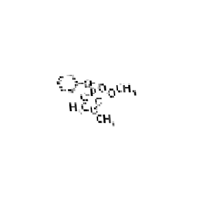 COO[PH](OC)(OOC)Oc1ccccc1